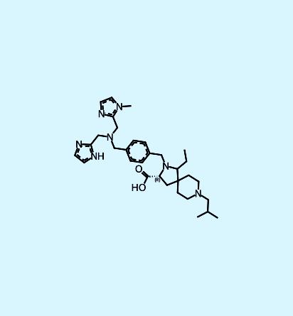 CCC1N(Cc2ccc(CN(Cc3ncc[nH]3)Cc3nccn3C)cc2)[C@@H](C(=O)O)CC12CCN(CC(C)C)CC2